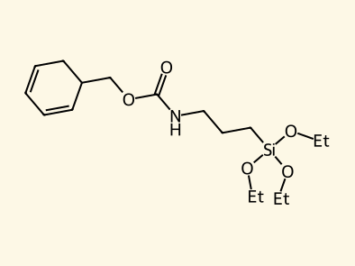 CCO[Si](CCCNC(=O)OCC1C=CC=CC1)(OCC)OCC